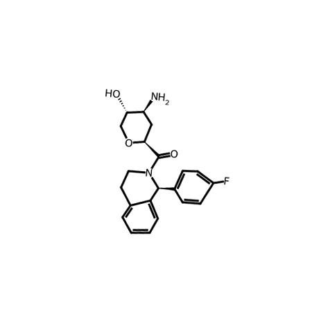 N[C@H]1C[C@@H](C(=O)N2CCc3ccccc3[C@@H]2c2ccc(F)cc2)OC[C@@H]1O